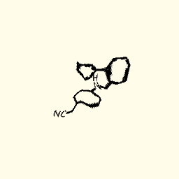 N#CCC1CCC(NCc2ccccc2-c2ccccc2)CC1